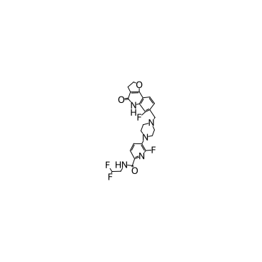 O=C(NCC(F)F)c1ccc(N2CCN(Cc3ccc4c5c(c(=O)[nH]c4c3F)CCO5)CC2)c(F)n1